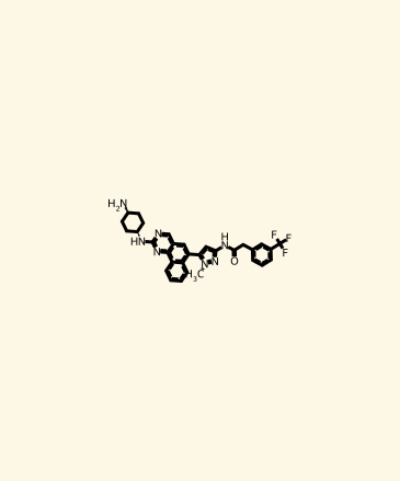 Cn1nc(NC(=O)Cc2cccc(C(F)(F)F)c2)cc1-c1cc2cnc(N[C@H]3CC[C@H](N)CC3)nc2c2ccccc12